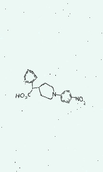 O=C(O)C(c1ccccc1)C1CCN(c2ccc([N+](=O)[O-])cc2)CC1